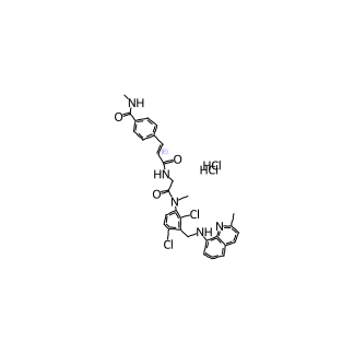 CNC(=O)c1ccc(/C=C/C(=O)NCC(=O)N(C)c2ccc(Cl)c(CNc3cccc4ccc(C)nc34)c2Cl)cc1.Cl.Cl